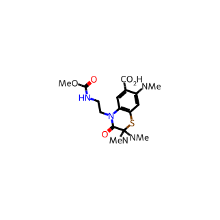 CNc1cc2c(cc1C(=O)O)N(CCNC(=O)OC)C(=O)C(NC)(NC)S2